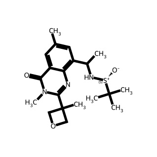 Cc1cc(C(C)N[S@+]([O-])C(C)(C)C)c2nc(C3(C)COC3)n(C)c(=O)c2c1